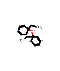 CCC1(OC2(CC)C=CC=CC2)C=CC=CC1